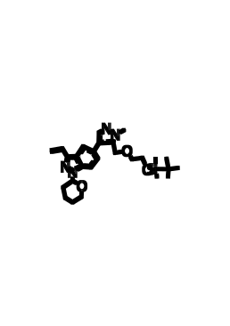 C=Cc1nn(C2CCCCO2)c2ccc(-c3cnn(C)c3COCCO[Si](C)(C)C(C)(C)C)cc12